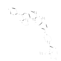 CC(C)(C)OC(=O)N1CCN(c2ccc(Nc3ncc4c(n3)N3CCN=C3C(c3ccncc3)=C4)c(F)c2)CC1